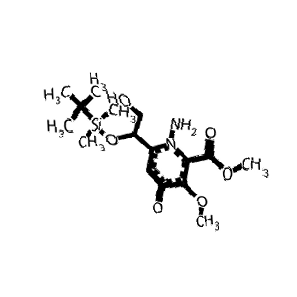 COC(=O)c1c(OC)c(=O)cc(C(CO)O[Si](C)(C)C(C)(C)C)n1N